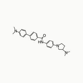 CN(C)c1ccc(-c2ccc(C(=O)Nc3ccc(N4CCC(N(C)C)C4)cc3)cc2)cc1